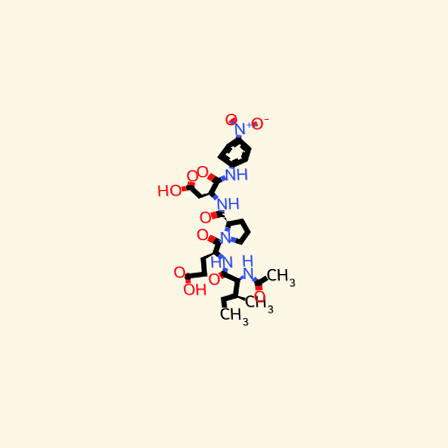 CC[C@H](C)[C@H](NC(C)=O)C(=O)N[C@@H](CCC(=O)O)C(=O)N1CCC[C@H]1C(=O)N[C@@H](CC(=O)O)C(=O)Nc1ccc([N+](=O)[O-])cc1